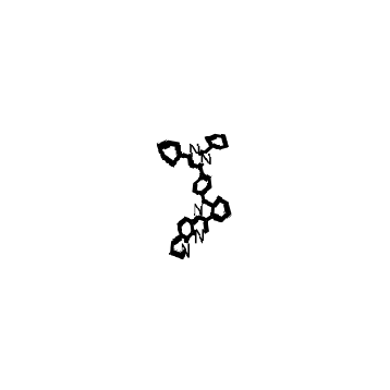 c1ccc(-c2cc(-c3ccc(-c4nc5c(cnc6c5ccc5cccnc56)c5ccccc45)cc3)nc(-c3ccccc3)n2)cc1